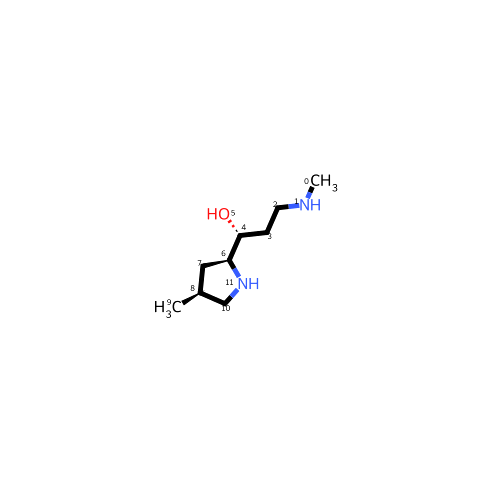 CNCC[C@@H](O)[C@@H]1C[C@H](C)CN1